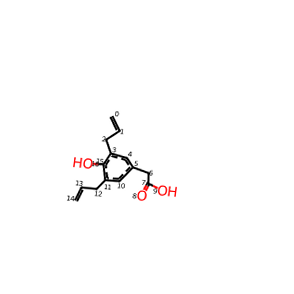 C=CCc1cc(CC(=O)O)cc(CC=C)c1O